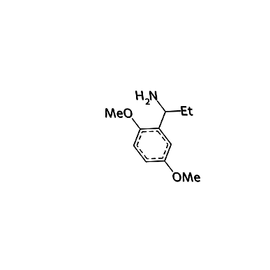 CCC(N)c1cc(OC)ccc1OC